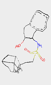 CC1(C)C2CC=C(CS(=O)(=O)NC3c4ccccc4CC3O)C1C2